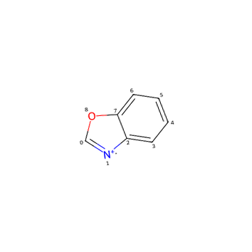 C1=[N+]c2ccccc2O1